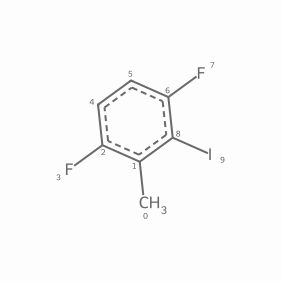 Cc1c(F)ccc(F)c1I